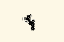 CC1CCC(c2cccc(NC(=O)c3c[nH]c4ccc(Cl)cc34)c2)(N2CCN(c3ccccc3)CC2)CC1